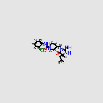 CC(C)CC1(C)NC(=N)N(CC2CCN(C(=O)Nc3ccccc3Cl)CC2)C1=O